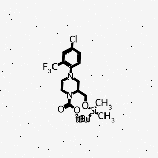 CC(C)(C)OC(=O)N1CCN(c2ccc(Cl)cc2C(F)(F)F)CC1CO[Si](C)(C)C(C)(C)C